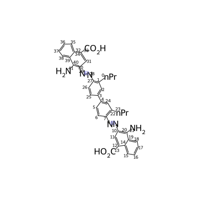 CCCc1cc(-c2ccc(/N=N/c3cc(C(=O)O)c4ccccc4c3N)c(CCC)c2)ccc1/N=N/c1cc(C(=O)O)c2ccccc2c1N